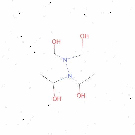 CC(O)N(C(C)O)N(CO)CO